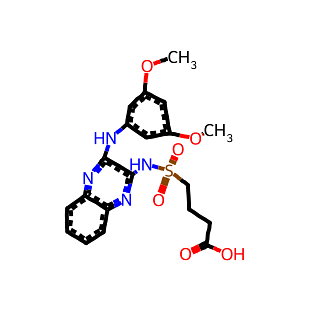 COc1cc(Nc2nc3ccccc3nc2NS(=O)(=O)CCCC(=O)O)cc(OC)c1